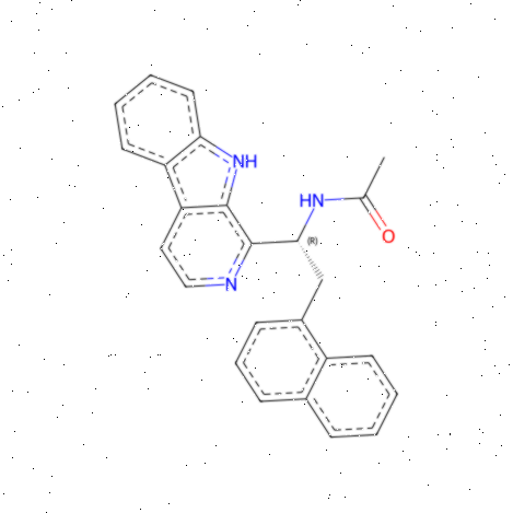 CC(=O)N[C@H](Cc1cccc2ccccc12)c1nccc2c1[nH]c1ccccc12